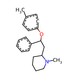 Cc1ccc(OC(CC2CCCCN2C)c2ccccc2)cc1